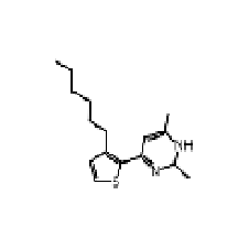 CCCCCCc1ccsc1C1=NC(C)NC(C)=C1